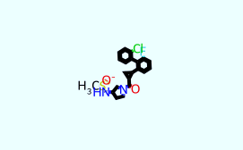 C[S+]([O-])NC1CCN(C(=O)C2CC2c2cccc(F)c2-c2ccccc2Cl)C1